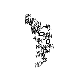 CC(C)n1cnc(CCNc2nc(N[C@H]3CC[C@H](NC(=O)N[C@H]4CC[C@H](Nc5nc(NCCc6cn(C(C)C)cn6)nc6c5ncn6[C@@H]5C[C@H](n6ncc(CO)n6)[C@@H](O)[C@H]5O)CC4)CC3)c3ncn([C@@H]4C[C@H](n5ncc(CO)n5)[C@@H](O)[C@H]4O)c3n2)c1